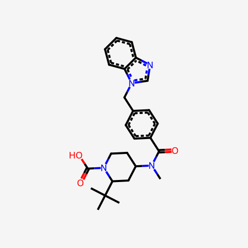 CN(C(=O)c1ccc(Cn2cnc3ccccc32)cc1)C1CCN(C(=O)O)C(C(C)(C)C)C1